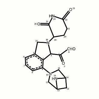 O=CC(=O)C1c2c(cccc2N2CC3CC(C2)N3)CN1C1CCC(=O)NC1=O